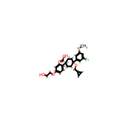 CSc1cc(F)cc([C@]2(OCC3CC3)CC[C@](C(=O)O)(c3ccc(OCCO)cc3)CC2)c1